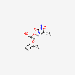 Cc1cn([C@H]2C[C@H](OCc3ccccc3[N+](=O)[O-])[C@@H](CO)O2)c(=O)[nH]c1=O